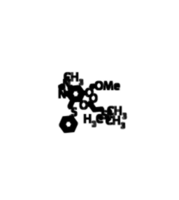 COCOc1cc2c(ncn2C)c(CSc2ccccc2)c1OC(=O)CC[Si](C)(C)C